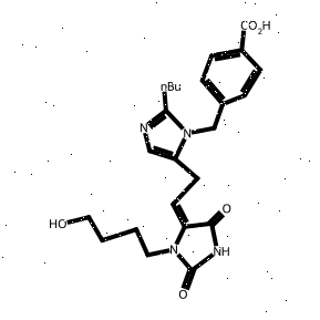 CCCCc1ncc(CC=C2C(=O)NC(=O)N2CCCCO)n1Cc1ccc(C(=O)O)cc1